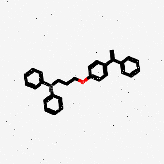 C=C(c1ccccc1)c1ccc(OCCC[SiH](c2ccccc2)c2ccccc2)cc1